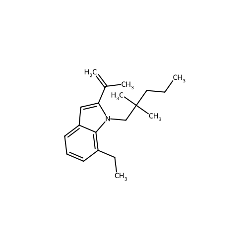 C=C(C)c1cc2cccc(CC)c2n1CC(C)(C)CCC